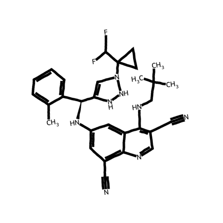 Cc1ccccc1[C@H](Nc1cc(C#N)c2ncc(C#N)c(NCC(C)(C)C)c2c1)C1=CN(C2(C(F)F)CC2)NN1